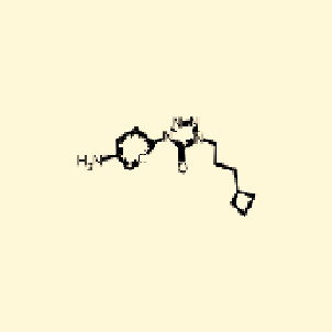 Nc1ccc(-n2nnn(CCCC3CCC3)c2=O)cc1